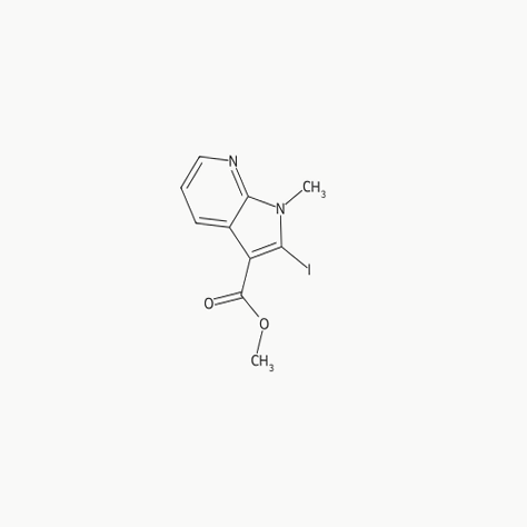 COC(=O)c1c(I)n(C)c2ncccc12